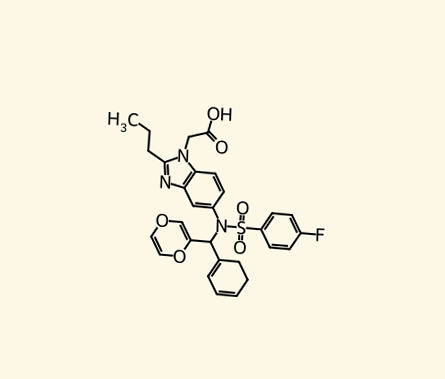 CCCc1nc2cc(N(C(C3=CC=CCC3)C3=COC=CO3)S(=O)(=O)c3ccc(F)cc3)ccc2n1CC(=O)O